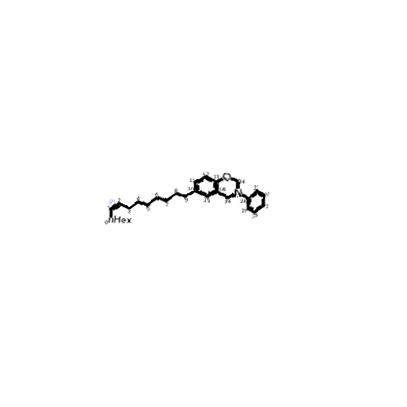 CCCCCC/C=C\CCCCCCCc1ccc2c(c1)CN(c1ccccc1)CO2